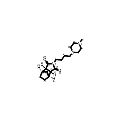 CN1CCN(CCCCN2C(=O)[C@@H]3[C@H]4CC[C@H](C4)[C@@H]3C2=O)CC1